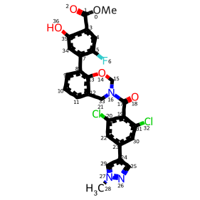 COC(=O)c1cc(F)c(-c2cccc3c2OCN(C(=O)c2c(Cl)cc(-c4cnn(C)c4)cc2Cl)C3)cc1O